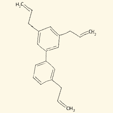 C=CCc1cccc(-c2cc(CC=C)cc(CC=C)c2)c1